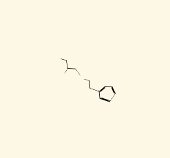 OCC(O)CSCCc1cc[c]cc1